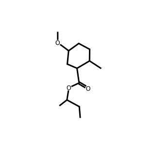 CCC(C)OC(=O)C1CC(OC)CCC1C